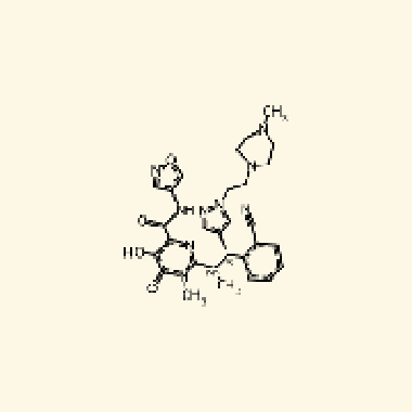 C[C@H](c1nc(C(=O)Nc2cnoc2)c(O)c(=O)n1C)[C@@H](c1cnn(CCN2CCN(C)CC2)c1)c1ccccc1C#N